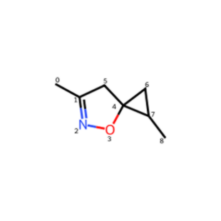 CC1=NOC2(C1)CC2C